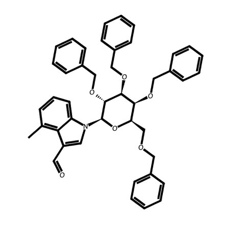 Cc1cccc2c1c(C=O)cn2[C@@H]1O[C@H](COCc2ccccc2)[C@H](OCc2ccccc2)[C@H](OCc2ccccc2)[C@H]1OCc1ccccc1